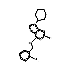 Nc1ccccc1CNc1nc(Cl)nc2c1ncn2C1CCCCC1